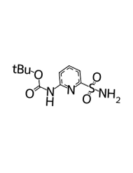 CC(C)(C)OC(=O)Nc1cccc(S(N)(=O)=O)n1